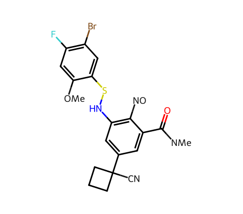 CNC(=O)c1cc(C2(C#N)CCC2)cc(NSc2cc(Br)c(F)cc2OC)c1N=O